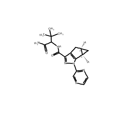 CC(C)(C)C(NC(=O)c1nn(-c2cnccn2)c2c1C[C@H]1C[C@@H]21)C(N)=O